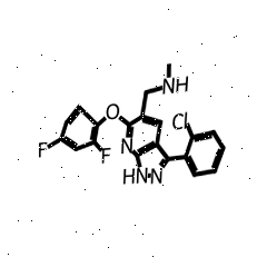 CNCc1cc2c(-c3ccccc3Cl)n[nH]c2nc1Oc1ccc(F)cc1F